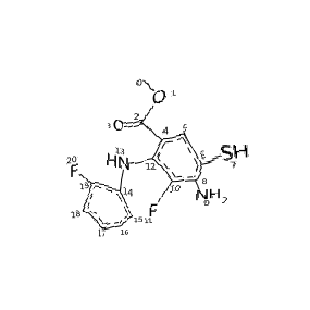 COC(=O)c1cc(S)c(N)c(F)c1Nc1ccccc1F